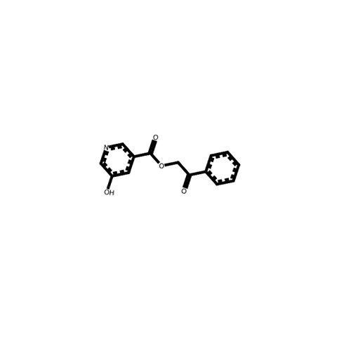 O=C(COC(=O)c1cncc(O)c1)c1ccccc1